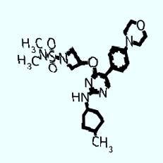 CC1CCC(Nc2ncc(-c3ccc(N4CCOCC4)cc3)c(OC3CN(S(=O)(=O)N(C)C)C3)n2)CC1